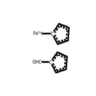 I[c-]1cccc1.O=C[c-]1cccc1.[Fe+2]